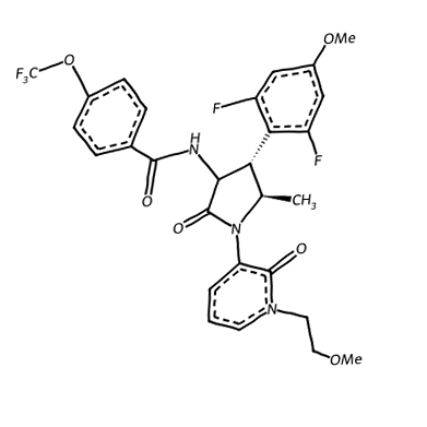 COCCn1cccc(N2C(=O)C(NC(=O)c3ccc(OC(F)(F)F)cc3)[C@H](c3c(F)cc(OC)cc3F)[C@H]2C)c1=O